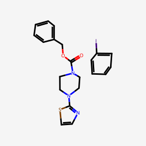 Ic1ccccc1.O=C(OCc1ccccc1)N1CCN(c2nccs2)CC1